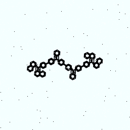 c1ccc(N(c2ccc(-c3ccc(N(c4ccccc4)c4ccc(-c5ccc(N(c6cccc7ccccc67)c6cccc7ccccc67)cc5)cc4)cc3)cc2)c2ccc(-c3ccc(N(c4cccc5ccccc45)c4cccc5ccccc45)cc3)cc2)cc1